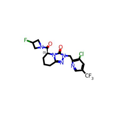 O=C([C@@H]1CCCc2nn(Cc3ncc(C(F)(F)F)cc3Cl)c(=O)n21)N1CC(F)C1